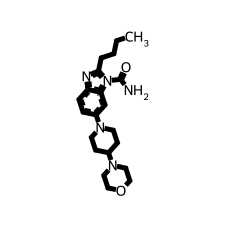 CCCCc1nc2ccc(N3CCC(N4CCOCC4)CC3)cc2n1C(N)=O